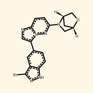 CCc1n[nH]c2ccc(-c3cnc4ccc(N5C[C@@H]6C[C@H]5CO6)nn34)cc12